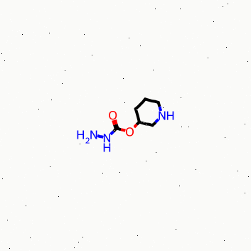 NNC(=O)OC1CCCNC1